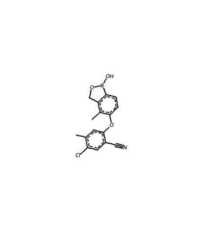 Cc1cc(Oc2ccc3c(c2C)COB3O)c(C#N)cc1Cl